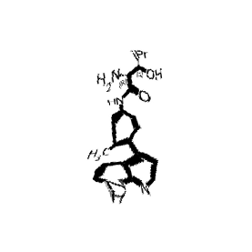 Cc1cc(NC(=O)[C@H](N)[C@@H](O)C(C)C)ccc1-c1ccnc2[nH]ccc12